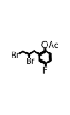 CC(=O)Oc1ccc(F)cc1CC(Br)CBr